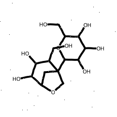 OCC1OC(C23COC(C2)C(O)C(O)C3CO)C(O)C(O)C1O